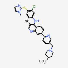 Cn1ccnc1Sc1ccc(Nc2c(C#N)cnc3cc(-c4ccc(CN5CCC(C(=O)O)CC5)cn4)ccc23)cc1Cl